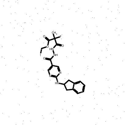 CC(F)(C(=O)NNC(=O)c1cnc(NC2Cc3ccccc3C2)nc1)C(=O)OCI